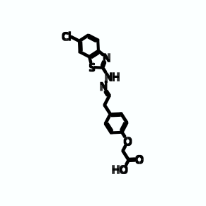 O=C(O)COc1ccc(CC=NNc2nc3ccc(Cl)cc3s2)cc1